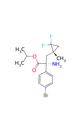 CC(C)OC(=O)[C@@](N)(C[C@@]1(C)CC1(F)F)c1ccc(Br)cc1